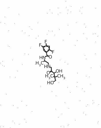 CC(CNCC(=O)C(O)C(C)(C)CO)NC(=O)c1cc(F)c(F)cc1F